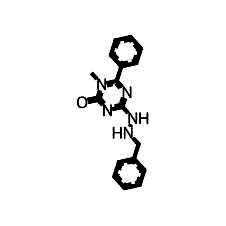 Cn1c(-c2ccccc2)nc(NNCc2ccccc2)nc1=O